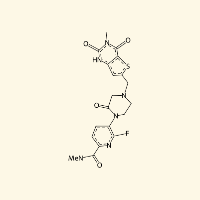 CNC(=O)c1ccc(N2CCN(Cc3cc4[nH]c(=O)n(C)c(=O)c4s3)CC2=O)c(F)n1